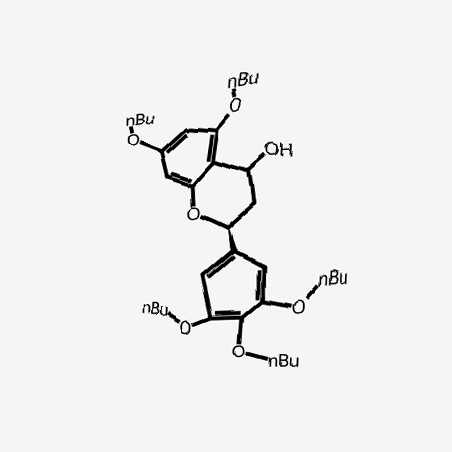 CCCCOc1cc(OCCCC)c2c(c1)O[C@H](c1cc(OCCCC)c(OCCCC)c(OCCCC)c1)CC2O